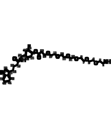 NCCOCCOCCOCCOCCOCCOCCC(=O)Oc1ccc(CNC(=O)CCCc2c[nH]c3ccccc23)cc1F